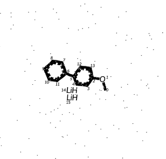 COc1ccc(-c2ccccc2)cc1.[LiH].[LiH]